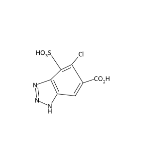 O=C(O)c1cc2[nH]nnc2c(S(=O)(=O)O)c1Cl